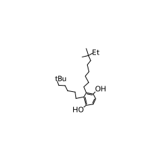 CCC(C)(C)CCCCCCc1c(O)ccc(O)c1CCCCCC(C)(C)C